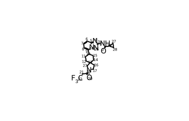 O=C(Nc1nc2cccc(C3CCC4(CC3)CCN(C(=O)CC(F)(F)F)C4)n2n1)C1CC1